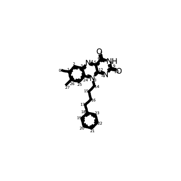 Cc1cc2nc3c(=O)[nH]c(=O)nc-3n(CCCCc3ccccc3)c2cc1C